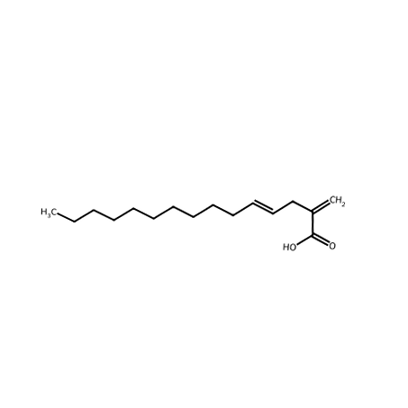 C=C(CC=CCCCCCCCCCC)C(=O)O